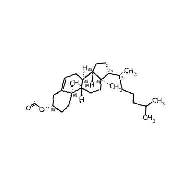 CC(C)CCC[C@@H](C)[C@H]1CC[C@H]2[C@@H]3CC=C4C[C@@H](O[C]=O)CC[C@]4(C)[C@H]3CC[C@]12C